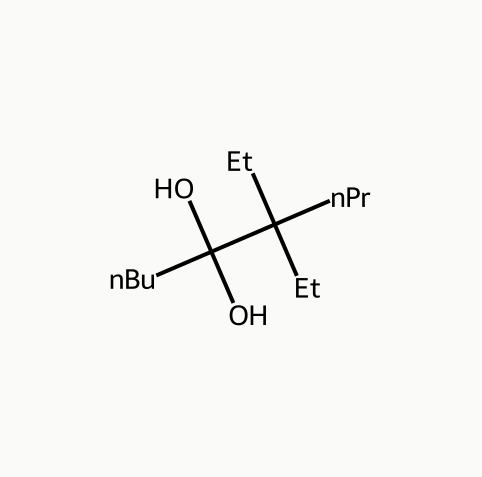 CCCCC(O)(O)C(CC)(CC)CCC